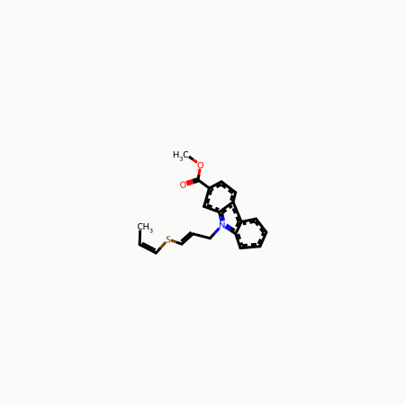 C/C=C\S/C=C/Cn1c2ccccc2c2ccc(C(=O)OC)cc21